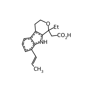 CC=Cc1cccc2c3c([nH]c12)C(CC)(CC(=O)O)OCC3